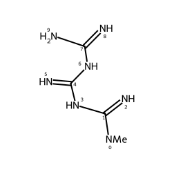 CNC(=N)NC(=N)NC(=N)N